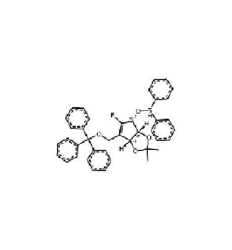 CC1(C)O[C@@H]2[C@H](O1)C(COC(c1ccccc1)(c1ccccc1)c1ccccc1)=C(F)[C@@H]2O[SiH](c1ccccc1)c1ccccc1